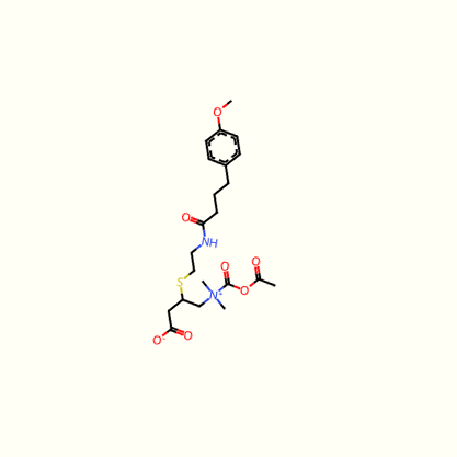 COc1ccc(CCCC(=O)NCCSC(CC(=O)[O-])C[N+](C)(C)C(=O)OC(C)=O)cc1